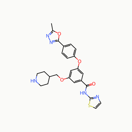 Cc1nnc(-c2ccc(Oc3cc(OCC4CCNCC4)cc(C(=O)Nc4nccs4)c3)cc2)o1